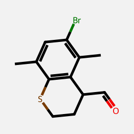 Cc1cc(Br)c(C)c2c1SCCC2C=O